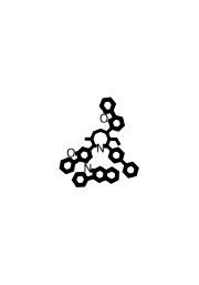 CCC1/C(c2ccc(-c3ccccc3)cc2)=N\C(c2cc(-n3c4ccccc4c4cc5ccccc5cc43)c3c(c2)oc2ccccc23)C(C)CCC1c1cccc2c1oc1ccccc12